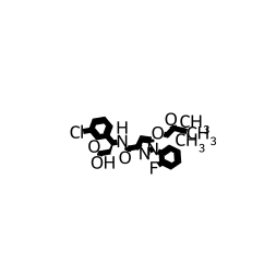 CC(C)(C)C(=O)COc1cc(C(=O)N[C@@H](CC(=O)O)c2cccc(Cl)c2)nn1-c1ccccc1F